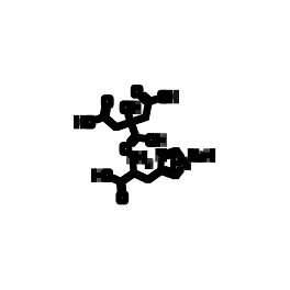 NC(Cc1c[nH]cn1)C(=O)O.O=C(O)CC(O)(CC(=O)O)C(=O)O.[NaH]